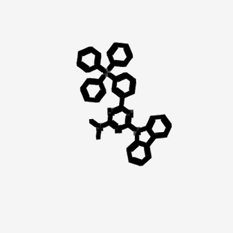 CN(C)c1nc(-c2cccc([Si](c3ccccc3)(c3ccccc3)c3ccccc3)c2)nc(-n2c3ccccc3c3ccccc32)n1